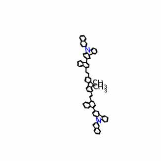 CC1(C)c2cc(/C=C/c3ccc(-c4ccc5c(c4)c4ccccc4n5-c4ccc5ccccc5c4)c4ccccc34)ccc2-c2ccc(/C=C/c3ccc(-c4ccc5c(c4)c4ccccc4n5-c4ccc5ccccc5c4)c4ccccc34)cc21